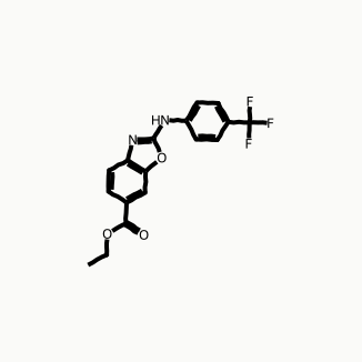 CCOC(=O)c1ccc2nc(Nc3ccc(C(F)(F)F)cc3)oc2c1